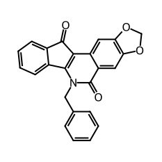 O=C1c2ccccc2-c2c1c1cc3c(cc1c(=O)n2Cc1ccccc1)OCO3